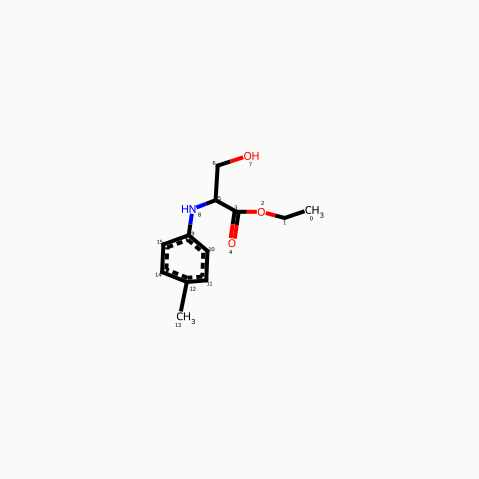 CCOC(=O)C(CO)Nc1ccc(C)cc1